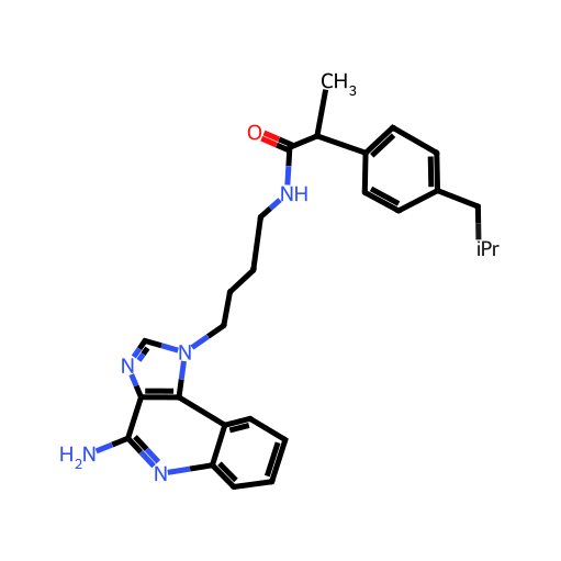 CC(C)Cc1ccc(C(C)C(=O)NCCCCn2cnc3c(N)nc4ccccc4c32)cc1